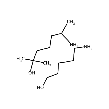 CC(N)CCCC(C)(C)O.NCCCCCO